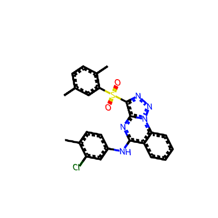 Cc1ccc(C)c(S(=O)(=O)c2nnn3c2nc(Nc2ccc(C)c(Cl)c2)c2ccccc23)c1